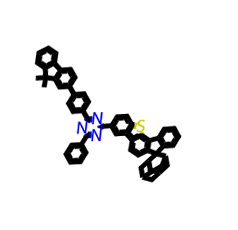 CC1(C)c2ccccc2-c2ccc(-c3ccc(-c4nc(-c5ccccc5)nc(-c5ccc6sc7c8c(ccc7c6c5)C5(c6ccccc6-8)C6CC7CC(C6)CC5C7)n4)cc3)cc21